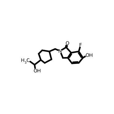 CC(O)C1CCC(CN2Cc3ccc(O)c(F)c3C2=O)CC1